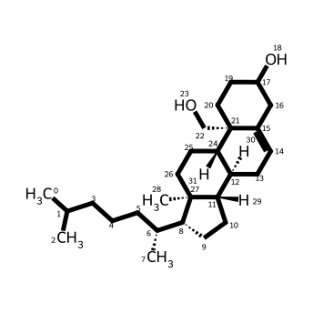 CC(C)CCC[C@@H](C)[C@H]1CC[C@H]2[C@@H]3CC=C4CC(O)CC[C@]4(CO)[C@H]3CC[C@]12C